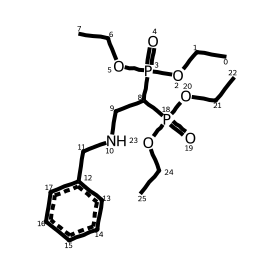 CCOP(=O)(OCC)C(CNCc1ccccc1)P(=O)(OCC)OCC